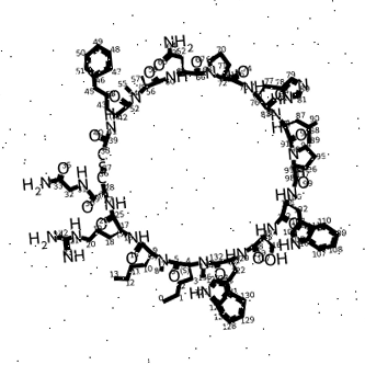 CCCC[C@H]1C(=O)N(C)[C@@H](CCCC)C(=O)N[C@@H](CCCNC(=N)N)C(=O)N[C@H](C(=O)NCC(N)=O)CSCC(=O)N[C@@H](CCCc2ccccc2)C(=O)N(C)[C@@H](C)C(=O)N[C@@H](CC(N)=O)C(=O)N2CCC[C@H]2C(=O)N[C@@H](Cc2cnc[nH]2)C(=O)N[C@@H](CC(C)C)C(=O)N2CCC[C@H]2C(=O)N[C@@H](Cc2c[nH]c3ccccc23)C(=O)N[C@@H](CO)C(=O)N[C@@H](Cc2c[nH]c3ccccc23)C(=O)N1C